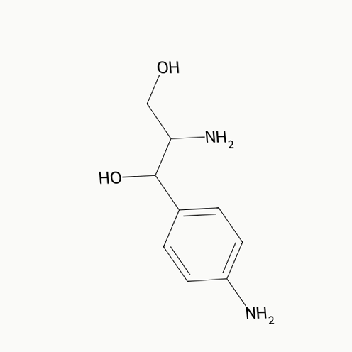 Nc1ccc(C(O)C(N)CO)cc1